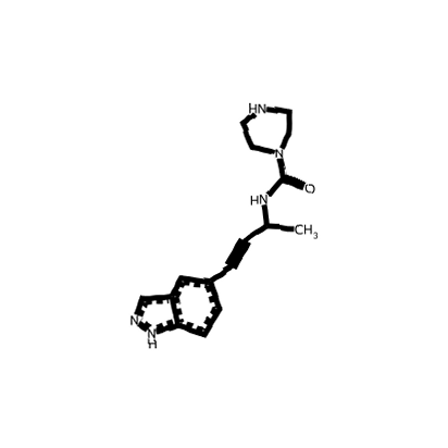 CC(C#Cc1ccc2[nH]ncc2c1)NC(=O)N1CCNCC1